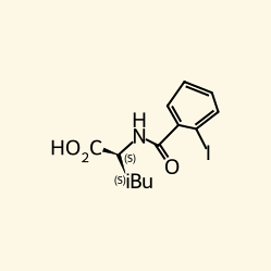 CC[C@H](C)[C@H](NC(=O)c1ccccc1I)C(=O)O